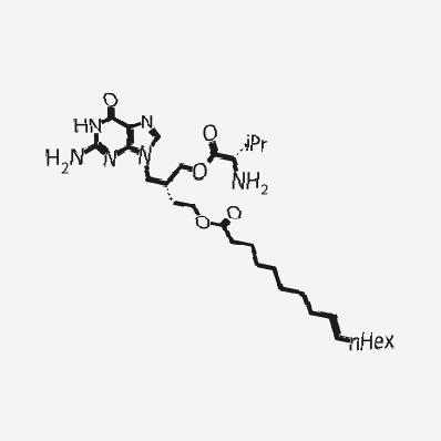 CCCCCC/C=C/CCCCCCCC(=O)OCC[C@@H](COC(=O)[C@@H](N)C(C)C)Cn1cnc2c(=O)[nH]c(N)nc21